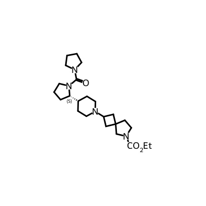 CCOC(=O)N1CCC2(CC(N3CCC([C@@H]4CCCN4C(=O)N4CCCC4)CC3)C2)C1